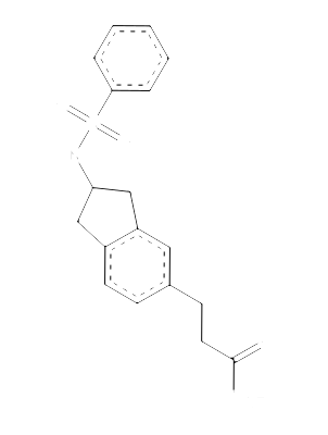 O=C(O)C(=O)CCc1ccc2c(c1)CC(NS(=O)(=O)c1ccccc1)C2